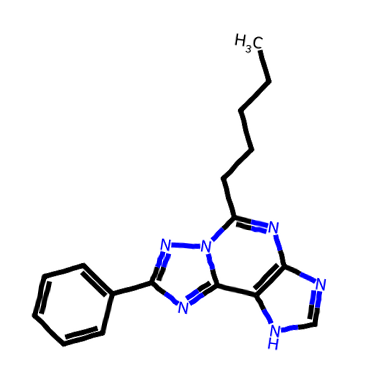 CCCCCc1nc2nc[nH]c2c2nc(-c3ccccc3)nn12